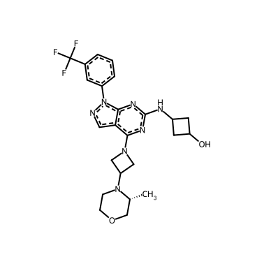 C[C@@H]1COCCN1C1CN(c2nc(NC3CC(O)C3)nc3c2cnn3-c2cccc(C(F)(F)F)c2)C1